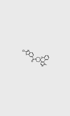 Cn1ncc2c1-c1ccccc1OC21CCN(C(=O)c2ccc3nc(Cl)sc3c2)CC1